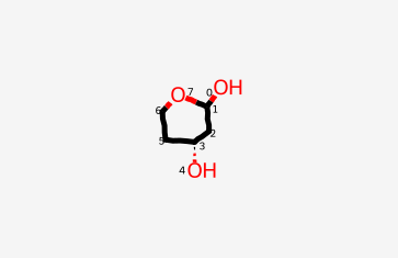 OC1C[C@H](O)CCO1